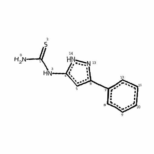 NC(=S)Nc1cc(-c2ccccc2)n[nH]1